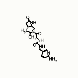 CC(C)N(CC1CCC(=O)N1)C(=O)CNC(=O)NCc1ccc(N)nc1